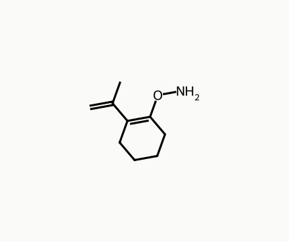 C=C(C)C1=C(ON)CCCC1